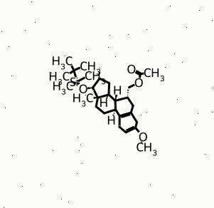 COC1=CCC2=C(C1)C[C@@H](COC(C)=O)[C@@H]1[C@@H]2CC[C@]2(C)[C@@H](O[Si](C)(C)C(C)(C)C)CC[C@@H]12